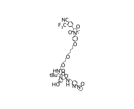 CC(C)(C)C(NC(=O)COCCCOCCCCCOc1ccc(N2C(=O)C(c3ccc(C#N)c(C(F)(F)F)c3)C(=O)C2(C)C)cc1)C(=O)N1C[C@H](O)CC1C(=O)NCc1ccc(N2CCCC2=O)nc1